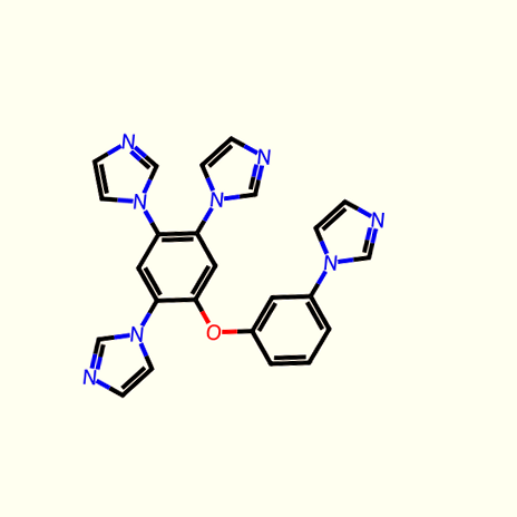 c1cc(Oc2cc(-n3ccnc3)c(-n3ccnc3)cc2-n2ccnc2)cc(-n2ccnc2)c1